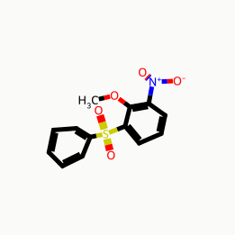 COc1c([N+](=O)[O-])cccc1S(=O)(=O)c1ccccc1